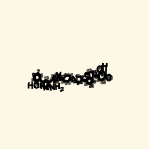 Nc1nnc(-c2ccccc2O)cc1-c1cnn([C@H]2CC[C@@H](N3CCC(c4cccc5c4OCCN5C4CCC(=O)NC4=O)CC3)CC2)c1